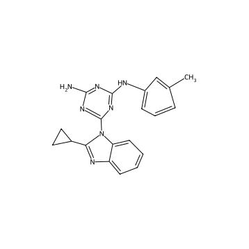 Cc1cccc(Nc2nc(N)nc(-n3c(C4CC4)nc4ccccc43)n2)c1